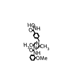 COc1ccccc1NC(=O)N1C[C@H](C)N(Cc2ccc(C(=O)NO)cc2)C[C@@H]1C